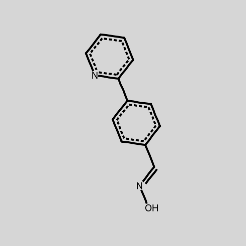 O/N=C/c1ccc(-c2ccccn2)cc1